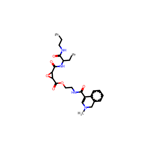 CC(C)CCNC(=O)C(CC(C)C)NC(=O)C1OC1C(=O)OCCNC(=O)C1=CN(C)Cc2ccccc21